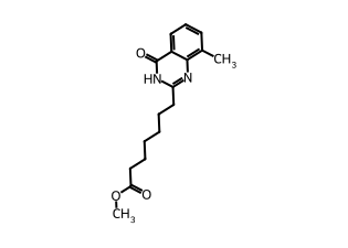 COC(=O)CCCCCCc1nc2c(C)cccc2c(=O)[nH]1